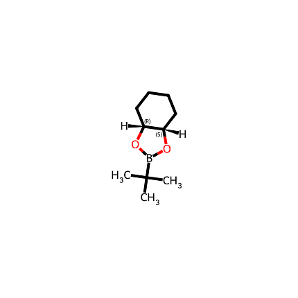 CC(C)(C)B1O[C@H]2CCCC[C@H]2O1